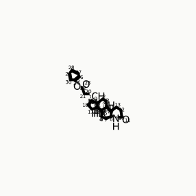 C[C@]12CC[C@H]3[C@@H](CCC4NC(=O)CC[C@@]43C)[C@@H]1CC[C@@H]2CCC(=O)Oc1ccccc1